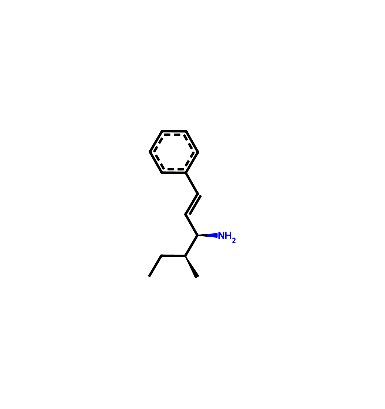 CC[C@H](C)[C@H](N)/C=C/c1ccccc1